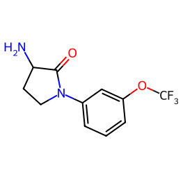 NC1CCN(c2cccc(OC(F)(F)F)c2)C1=O